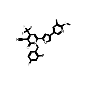 CSc1ncc(-c2coc(-c3cc(C(F)(F)F)c(C#N)c(=O)n3Cc3ccc(F)cc3F)c2)cc1C